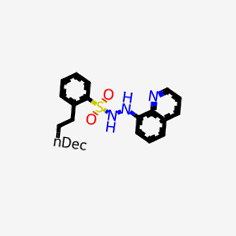 CCCCCCCCCCCCc1ccccc1S(=O)(=O)NNc1cccc2cccnc12